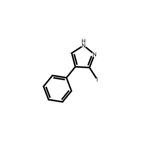 Ic1n[nH][c]c1-c1ccccc1